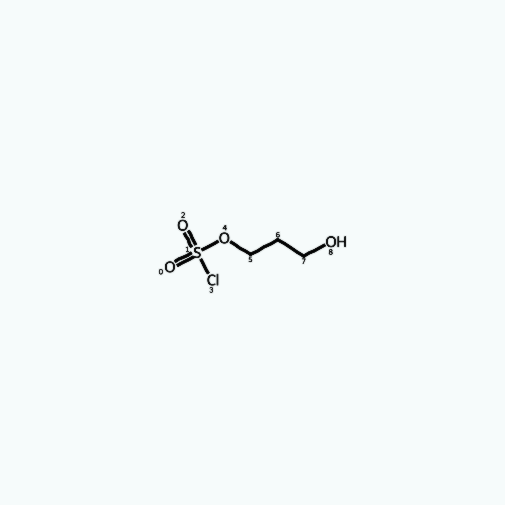 O=S(=O)(Cl)OCCCO